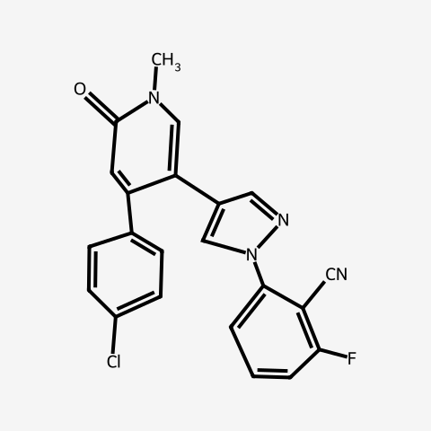 Cn1cc(-c2cnn(-c3cccc(F)c3C#N)c2)c(-c2ccc(Cl)cc2)cc1=O